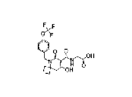 O=C(O)CNC(=O)C1=C(O)CC2(CCC2)N(Cc2ccc(OC(F)(F)F)cc2)C1=O